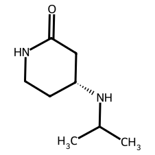 CC(C)N[C@@H]1CCNC(=O)C1